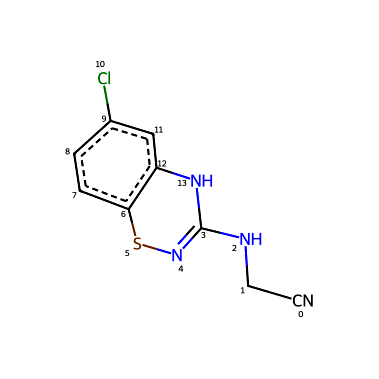 N#CCNC1=NSc2ccc(Cl)cc2N1